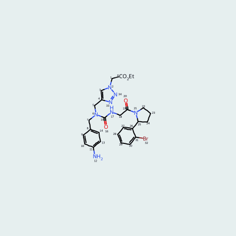 CCOC(=O)Cn1cc(CN(Cc2ccc(N)cc2)C(=O)NCC(=O)N2CCCC2c2ccccc2Br)nn1